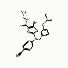 CSNC(=O)c1nc(N(Cc2cccc(OC(F)F)c2)c2ccc(C#N)cc2)sc1Br